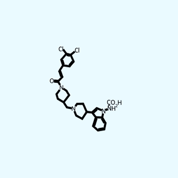 O=C(O)Nn1cc(C2CCN(CC3CCN(C(=O)C=Cc4ccc(Cl)c(Cl)c4)CC3)CC2)c2ccccc21